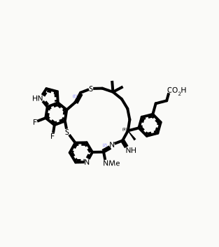 CN/C1=N\C(=N)[C@@](C)(c2cccc(CCC(=O)O)c2)CCCC(C)(C)CS/C=C/c2c(c(F)c(F)c3[nH]ccc23)Sc2ccnc1c2